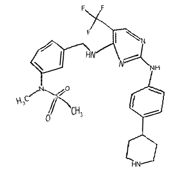 CN(c1cccc(CNc2nc(Nc3ccc(C4CCNCC4)cc3)ncc2C(F)(F)F)c1)S(C)(=O)=O